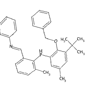 Cc1cc(Pc2c(C)cccc2/C=N/c2ccccc2)c(OCc2ccccc2)c(C(C)(C)C)c1